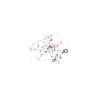 CC(=O)NCC(=O)N[C@H](CCCNC(=N)N)C(=O)N[C@H](CCCNC(=N)N)C(=O)N[C@H](CCCNC(=N)NC1CCC1)C(=O)N[C@H](CCCNC(=N)N)C(=O)N[C@H](CCCNC(=N)N)C(=O)N[C@H](CCCNC(=N)N)C(=O)N[C@H](CCCNC(=N)N)C(=O)N[C@H](Cc1c[nH]c2ccccc12)C(=O)N[C@H](CS)C(N)=O